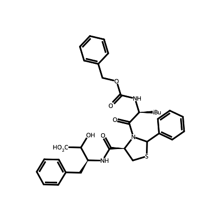 CCC(C)[C@H](NC(=O)OCc1ccccc1)C(=O)N1C(c2ccccc2)SC[C@H]1C(=O)N[C@@H](Cc1ccccc1)C(O)C(=O)O